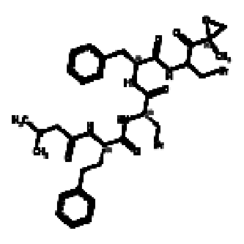 CC(C)CC(NC(=O)[C@H](Cc1ccccc1)NC(=O)[C@H](CC(C)C)NC(=O)[C@H](CCc1ccccc1)NC(=O)CN(C)C)C(=O)[C@@]1(C)CO1